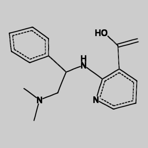 C=C(O)c1cccnc1NC(CN(C)C)c1ccccc1